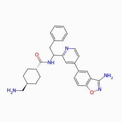 NC[C@H]1CC[C@H](C(=O)NC(Cc2ccccc2)c2cc(-c3ccc4onc(N)c4c3)ccn2)CC1